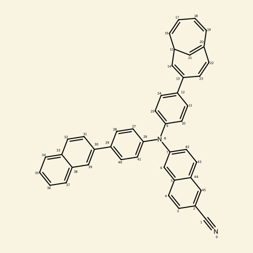 N#Cc1ccc2cc(N(c3ccc(C4=CC5C=CC=CC(=C5)C=C4)cc3)c3ccc(-c4ccc5ccccc5c4)cc3)ccc2c1